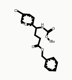 CC(C)(C)OC(=O)NC(CCC(=O)OCc1ccccc1)c1ccc(Cl)cc1